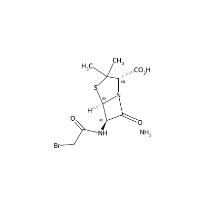 CC1(C)S[C@@H]2[C@H](NC(=O)CBr)C(=O)N2[C@H]1C(=O)O.N